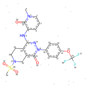 Cn1cccc(Nc2nn(-c3ccc(OC(F)(F)F)cc3)c(=O)c3c2CCN(S(C)(=O)=O)C3)c1=O